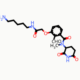 CN(C(=O)c1cccc(OCC(=O)NCCCCCN)c1C=O)C1CCC(=O)NC1=O